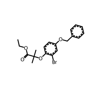 CCOC(=O)C(C)(C)Oc1ccc(OCc2ccccc2)cc1Br